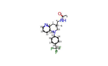 CC(=O)NC[C@]1(C)Cc2ncccc2N(c2ccc(C(F)(F)F)cc2)C1